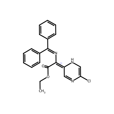 CCOC(=O)/C(N=C(c1ccccc1)c1ccccc1)=C1\C=NC(Cl)=CN1